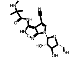 CNC(C)(C)C(=O)NC1=c2c(C#N)cn([C@@H]3O[C@H](CO)C(O)[C@@H]3O)c2=NCN1